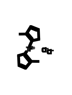 CC1=[C]([Ti+2][C]2=C(C)C=CC2)CC=C1.[Cl-].[Cl-]